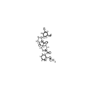 COc1ncccc1C(=O)N1CCC2(CC1)OC1CCC(c3cc(F)cc(F)c3)N1C2=O